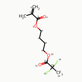 C=C(C)C(=O)OCCCCOC(=O)C(F)(F)C(F)(F)F